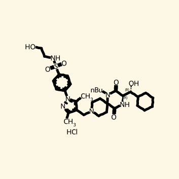 CCCCN1C(=O)[C@@H]([C@H](O)C2CCCCC2)NC(=O)C12CCN(Cc1c(C)nn(-c3ccc(S(=O)(=O)NCCO)cc3)c1C)CC2.Cl